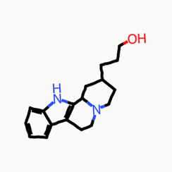 OCCCC1CCN2CCc3c([nH]c4ccccc34)C2C1